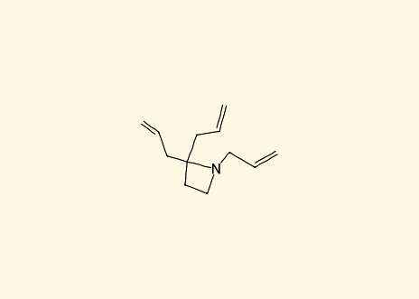 C=CCN1CCC1(CC=C)CC=C